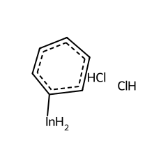 Cl.Cl.[InH2][c]1ccccc1